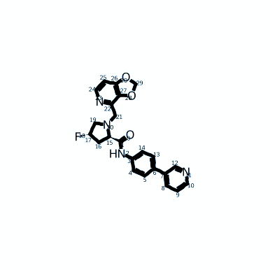 O=C(Nc1ccc(-c2cccnc2)cc1)[C@H]1C[C@H](F)CN1Cc1nccc2c1OCO2